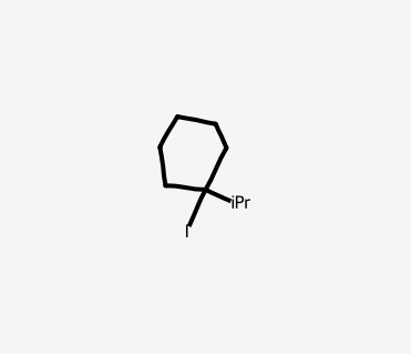 CC(C)C1(I)CCCCC1